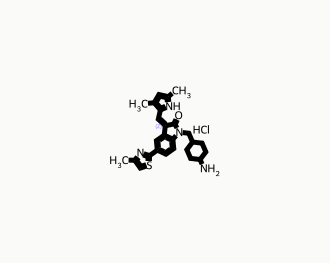 Cc1csc(-c2ccc3c(c2)/C(=C/c2[nH]c(C)cc2C)C(=O)N3CC2CCC(N)CC2)n1.Cl